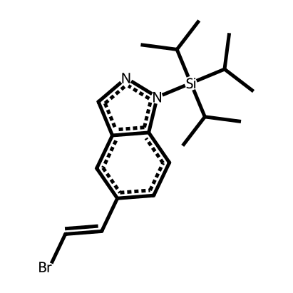 CC(C)[Si](C(C)C)(C(C)C)n1ncc2cc(C=CBr)ccc21